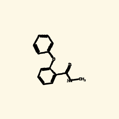 CNC(=O)c1ccccc1Oc1ccccc1